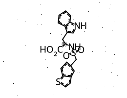 O=C(O)[C@@H](Cc1c[nH]c2ccccc12)NS(=O)(=O)Cc1ccc2sccc2c1